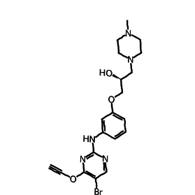 C#COc1nc(Nc2cccc(OC[C@@H](O)CN3CCN(C)CC3)c2)ncc1Br